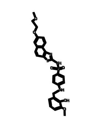 COCCOc1ccc2c(ccc3sc(NS(=O)(=O)c4ccc(NCc5cccc(OC)c5O)cc4)nc32)c1